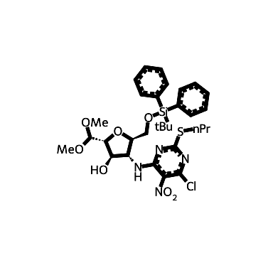 CCCSc1nc(Cl)c([N+](=O)[O-])c(N[C@@H]2[C@@H](O)[C@H](C(OC)OC)O[C@H]2CO[Si](c2ccccc2)(c2ccccc2)C(C)(C)C)n1